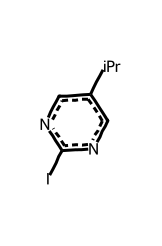 CC(C)c1cnc(I)nc1